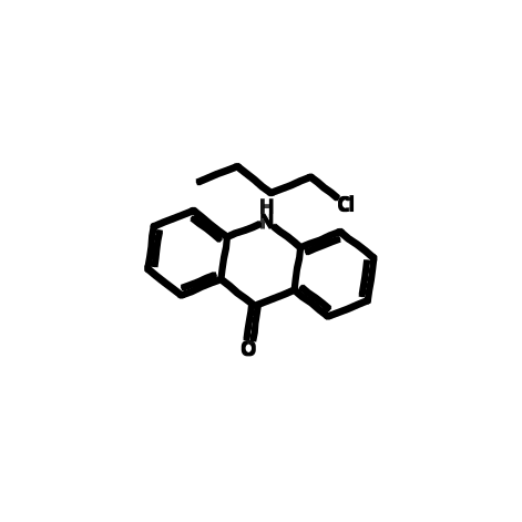 CCCCCl.O=c1c2ccccc2[nH]c2ccccc12